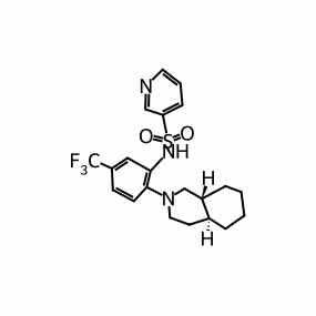 O=S(=O)(Nc1cc(C(F)(F)F)ccc1N1CC[C@@H]2CCCC[C@H]2C1)c1cccnc1